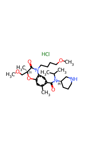 COCCCCN1C(=O)[C@](C)(COC)Oc2cc(C)c(C(=O)N(C(C)C)[C@@H]3CCCNC3)cc21.Cl